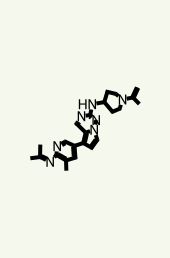 C=C(C)N1CCC(Nc2ncc3c(-c4cnc(N=C(C)C)c(C)c4)ccn3n2)CC1